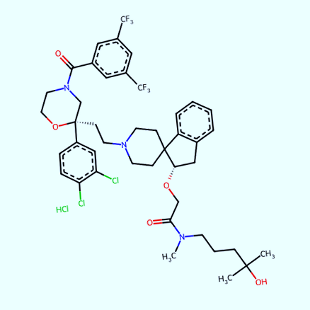 CN(CCCC(C)(C)O)C(=O)CO[C@H]1Cc2ccccc2C12CCN(CC[C@@]1(c3ccc(Cl)c(Cl)c3)CN(C(=O)c3cc(C(F)(F)F)cc(C(F)(F)F)c3)CCO1)CC2.Cl